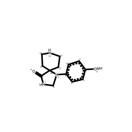 COc1ccc(N2CNC(=O)C23CCNCC3)cc1